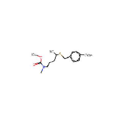 COc1ccc(CSC(C#N)CCCN(C)C(=O)OC(C)(C)C)cc1